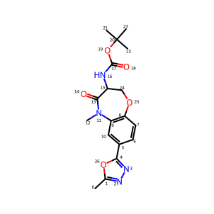 Cc1nnc(-c2ccc3c(c2)N(C)C(=O)C(NC(=O)OC(C)(C)C)CO3)o1